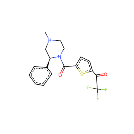 CN1CCN(C(=O)c2ccc(C(=O)C(F)(F)F)s2)[C@@H](c2ccccc2)C1